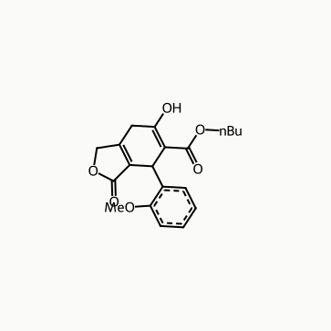 CCCCOC(=O)C1=C(O)CC2=C(C(=O)OC2)C1c1ccccc1OC